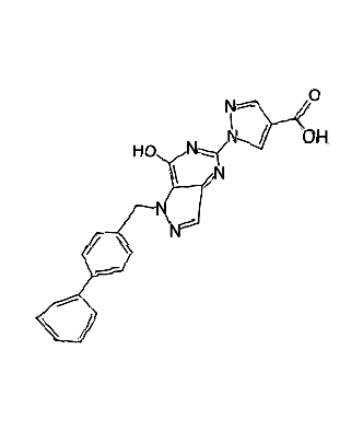 O=C(O)c1cnn(-c2nc(O)c3c(cnn3Cc3ccc(-c4ccccc4)cc3)n2)c1